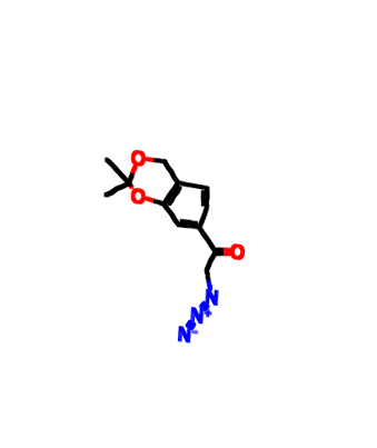 CC1(C)OCc2ccc(C(=O)CN=[N+]=[N-])cc2O1